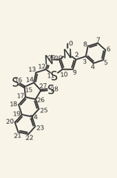 Cn1c(-c2ccccc2)cc2sc(C=C3C(=S)c4cc5ccccc5cc4C3=S)nc21